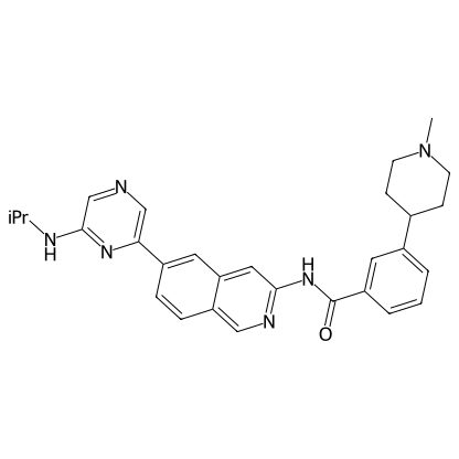 CC(C)Nc1cncc(-c2ccc3cnc(NC(=O)c4cccc(C5CCN(C)CC5)c4)cc3c2)n1